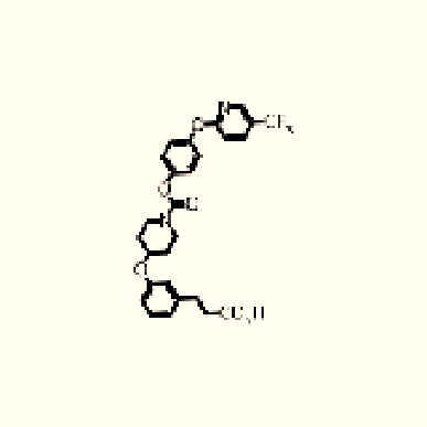 O=C(O)CCc1cccc(OC2CCN(C(=O)Oc3ccc(Oc4ccc(C(F)(F)F)cn4)cc3)CC2)c1